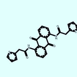 O=C(Cc1cccs1)Nc1cccc2c1C(=O)c1cccc(NC(=O)Cc3cccs3)c1C2=O